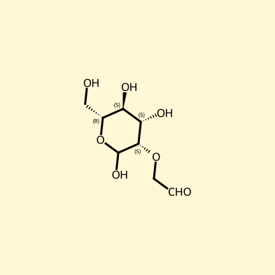 O=CCO[C@@H]1C(O)O[C@H](CO)[C@@H](O)[C@@H]1O